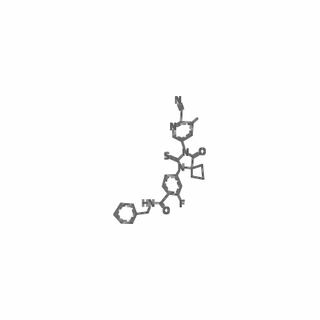 Cc1cc(N2C(=O)C3(CCC3)N(c3ccc(C(=O)NCc4ccccc4)c(F)c3)C2=S)cnc1C#N